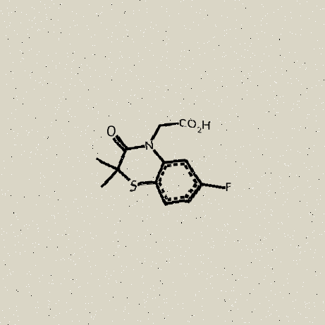 CC1(C)Sc2ccc(F)cc2N(CC(=O)O)C1=O